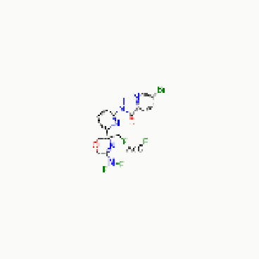 CC(=O)OF.O=C(Nc1cccc(C2(CF)COCC(N(F)F)=N2)n1)c1ccc(Br)cn1